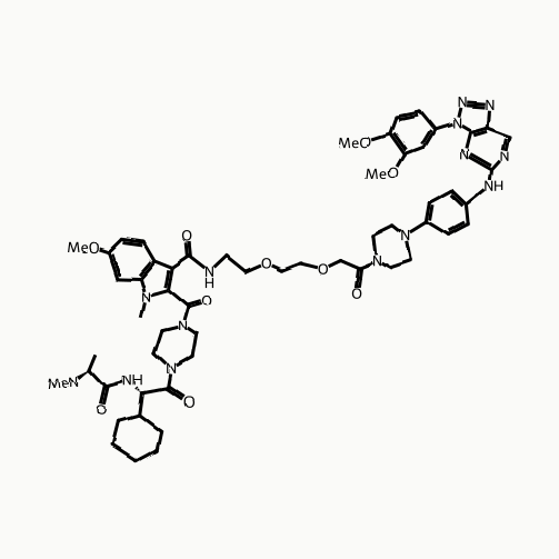 CN[C@@H](C)C(=O)N[C@H](C(=O)N1CCN(C(=O)c2c(C(=O)NCCOCCOCC(=O)N3CCN(c4ccc(Nc5ncc6nnn(-c7ccc(OC)c(OC)c7)c6n5)cc4)CC3)c3ccc(OC)cc3n2C)CC1)C1CCCCC1